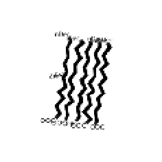 CCCCCCCCCCCCCCCCCCCCCC(=O)[O-].CCCCCCCCCCCCCCCCCCCCCC(=O)[O-].CCCCCCCCCCCCCCCCCCCCCC(=O)[O-].CCCCCCCCCCCCCCCCCCCCCC(=O)[O-].CCCCCCCCCCCCCCCCCCCCCC(=O)[O-].[Fe+3].[Zn+2]